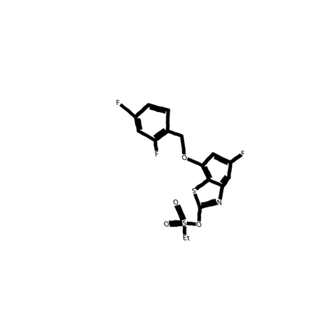 CCS(=O)(=O)Oc1nc2cc(F)cc(OCc3ccc(F)cc3F)c2s1